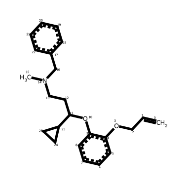 C=CCOc1ccccc1OC(CCN(C)Cc1ccccc1)C1CC1